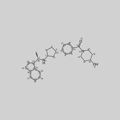 C[C@@H](NC1CC[C@H](c2ccc(C(=O)N3CCC(O)CC3)cc2)C1)c1csc2ccccc12